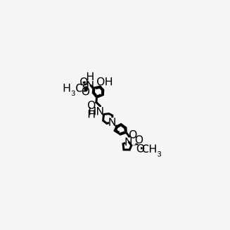 COC(=O)[C@@H]1CCCN1C(=O)c1ccc(N2CCC(NC[C@H](O)c3ccc(O)c(NS(C)(=O)=O)c3)CC2)cc1